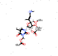 CCCCOC[C@@]1(/C(C)=C/C=N\C)O[C@@H](n2cc(C)c(=O)n(COC(=O)C(C)(C)C)c2=O)[C@@H](OC(=O)C(C)(C)C)C1OCCCC